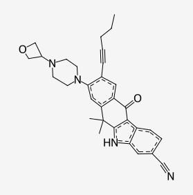 CCCC#Cc1cc2c(cc1N1CCN(C3COC3)CC1)C(C)(C)c1[nH]c3cc(C#N)ccc3c1C2=O